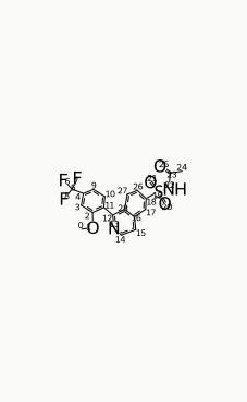 COc1cc(C(F)(F)F)ccc1-c1nccc2cc(S(=O)(=O)NC(C)=O)ccc12